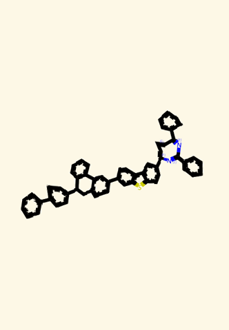 C1=C/C(c2ccccc2)=N\C(c2ccccc2)=N/C(c2ccc3sc4cc(-c5ccc6c(c5)-c5ccccc5C(c5ccc(-c7ccccc7)cc5)C6)ccc4c3c2)=C/1